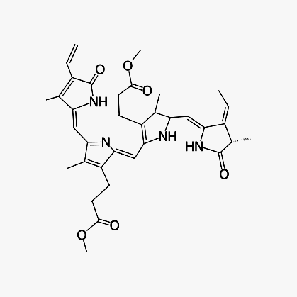 C=CC1=C(C)/C(=C/C2=NC(=C\C3=C(CCC(=O)OC)C(C)C(/C=C4\NC(=O)[C@@H](C)\C4=C\C)N3)/C(CCC(=O)OC)=C2C)NC1=O